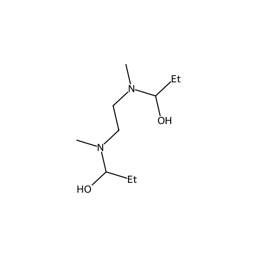 CCC(O)N(C)CCN(C)C(O)CC